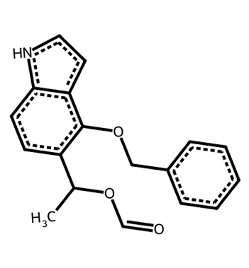 CC(OC=O)c1ccc2[nH]ccc2c1OCc1ccccc1